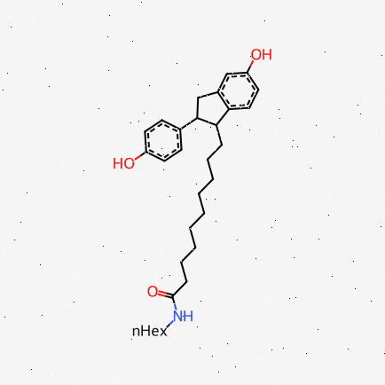 CCCCCCNC(=O)CCCCCCCCCC1c2ccc(O)cc2CC1c1ccc(O)cc1